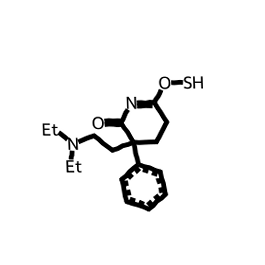 CCN(CC)CCC1(c2ccccc2)CCC(OS)=NC1=O